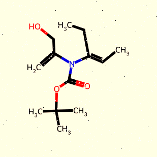 C=C(CO)N(C(=O)OC(C)(C)C)/C(=C/C)CC